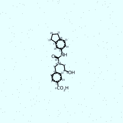 O=C(O)c1ccc(CN(CCO)C(=O)Nc2ccc3c(c2)CCC3)cc1